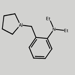 CCN(CC)c1ccccc1[CH2][Al]1[CH2]CC[CH2]1